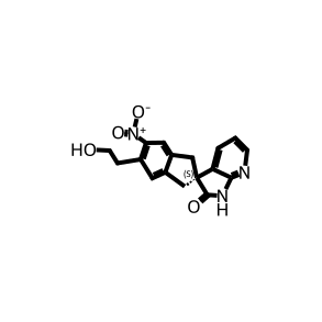 O=C1Nc2ncccc2[C@@]12Cc1cc(CCO)c([N+](=O)[O-])cc1C2